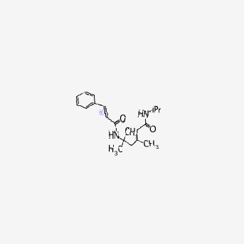 CC(CC(=O)NC(C)C)CC(C)(C)NC(=O)/C=C/c1ccccc1